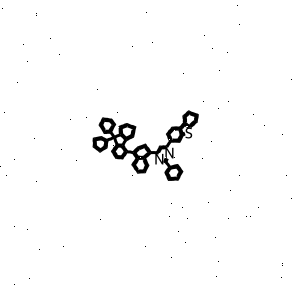 c1ccc(-c2nc(-c3ccc4c(c3)sc3ccccc34)cc(-c3ccc(-c4cccc5c4-c4ccccc4C5(c4ccccc4)c4ccccc4)c4ccccc34)n2)cc1